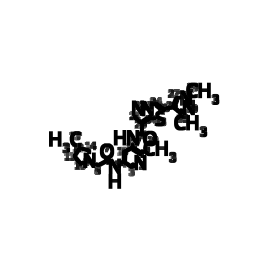 Cc1ncc(NC(=O)CN2CCC(C)C2)cc1NC(=O)c1cnn2cc(-c3cn(C)nc3C)sc12